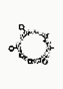 CC[C@H](C)[C@@H]1NC(=O)[C@H](CC(C)C)N(C)C(=O)C[C@@H](C(=O)N2CCCCC2)N(C)C(=O)[C@H](C(C)C)N(C)C(=O)C2(CCCC2)NC(=O)[C@@H]2CCCN2C(=O)[C@H](CCc2ccccc2)NC(=O)CN(C)C(=O)[C@H](CCC2CCCCC2)N(C)C(=O)CN(C)C(=O)CN(C)C1=O